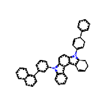 C1=Cc2c(n(C3=CCC(c4ccccc4)C=C3)c3ccc4c(c5ccccc5n4-c4cccc(-c5cccc6ccccc56)c4)c23)CC1